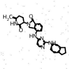 C=C1CCC(N2Cc3c(Nc4ccnc(Nc5ccc6c(c5)CCC6)n4)cccc3C2=O)C(=O)N1